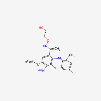 C=C(NOCCO)c1cc2c(ncn2CCCCC)c(F)c1Nc1ccc(Br)cc1C